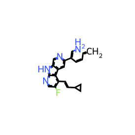 C=C/C=C\C(=C/N)c1cc2c(cn1)[nH]c1ncc(F)c(/C=C/C3CC3)c12